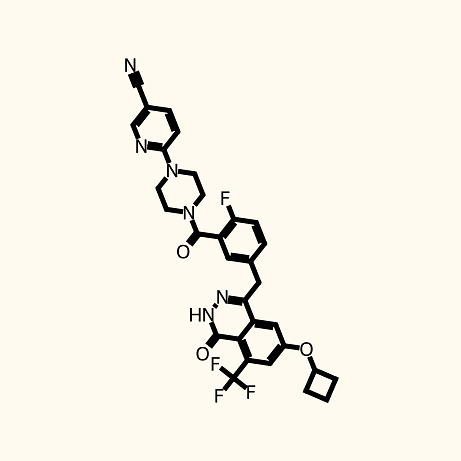 N#Cc1ccc(N2CCN(C(=O)c3cc(Cc4n[nH]c(=O)c5c(C(F)(F)F)cc(OC6CCC6)cc45)ccc3F)CC2)nc1